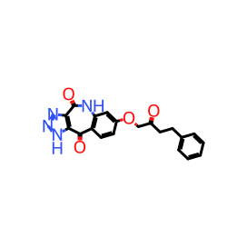 O=C(CCc1ccccc1)COc1ccc2c(=O)c3[nH]nnc3c(=O)[nH]c2c1